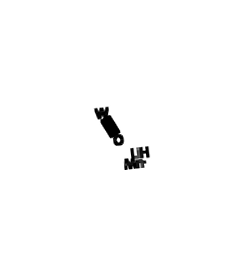 [LiH].[Mn].[O]=[W]